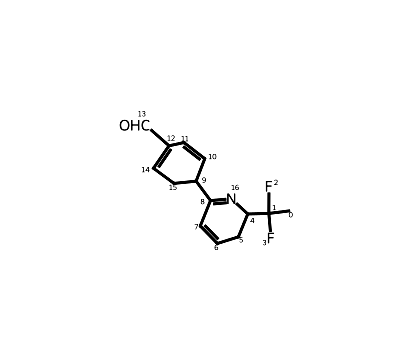 CC(F)(F)C1CC=CC(C2C=CC(C=O)=CC2)=N1